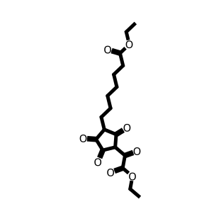 CCOC(=O)CCCCCCC1C(=O)C(=O)C(C(=O)C(=O)OCC)C1=O